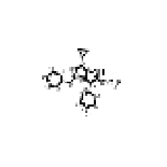 CCOC(=O)c1[nH]c2c(C3CC3)nn(Cc3ccccc3)c2c1-c1ccc(F)cc1